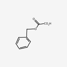 O=C(O)C(=O)OCc1ccccc1